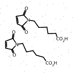 O=C(O)CCCCCN1C(=O)C=CC1=O.O=C(O)CCCCCN1C(=O)C=CC1=O